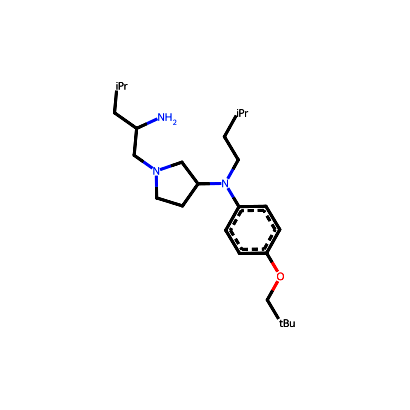 CC(C)CCN(c1ccc(OCC(C)(C)C)cc1)C1CCN(CC(N)CC(C)C)C1